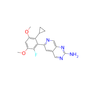 COc1cc(OC)c(C2CC2)c(-c2cc3cnc(N)nc3cn2)c1F